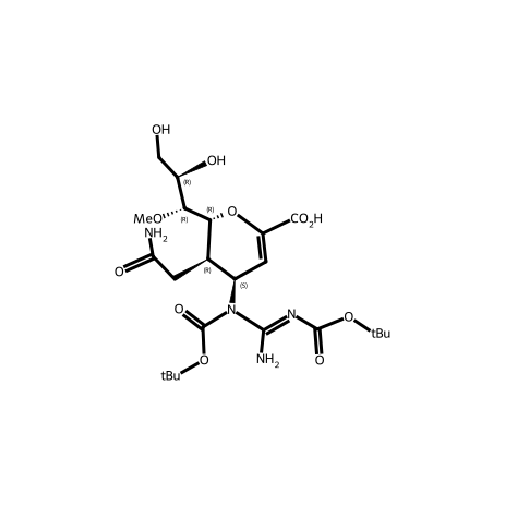 CO[C@@H]([C@@H]1OC(C(=O)O)=C[C@@H](N(C(=O)OC(C)(C)C)C(N)=NC(=O)OC(C)(C)C)[C@H]1CC(N)=O)[C@H](O)CO